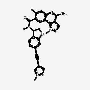 Cc1cc2nc(N)c3cnn(C)c3c2cc1C(=O)N(C)C1COc2cc(C#Cc3cnn(C)c3)ccc21